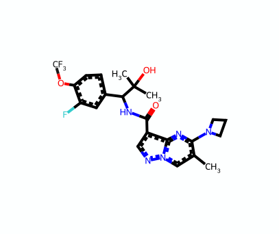 Cc1cn2ncc(C(=O)NC(c3ccc(OC(F)(F)F)c(F)c3)C(C)(C)O)c2nc1N1CCC1